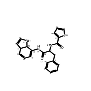 O=C(NC(Cc1ccccc1)C(=O)NC1=CC=CC2C=CNC12)c1cccs1